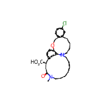 CN1CCCCCCCN2CCCCc3cc(Cl)ccc3COc3ccc(cc32)C(C(=O)O)CC1=O